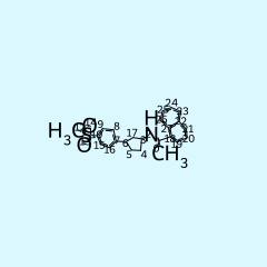 C[C@@H](NC1CCC(c2ccc(S(C)(=O)=O)cc2)C1)c1cccc2ccccc12